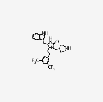 O=C1NC(Cc2c[nH]c3ccccc23)C(CCc2cc(C(F)(F)F)cc(C(F)(F)F)c2)N1CC1CCNCC1